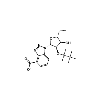 CC[C@H]1O[C@@H](n2nnc3c([N+](=O)[O-])cccc32)[C@H](O[Si](C)(C)C(C)(C)C)[C@@H]1O